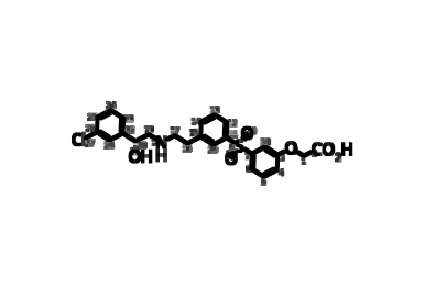 O=C(O)COc1cccc(S(=O)(=O)c2cccc(CCNC[C@H](O)c3cccc(Cl)c3)c2)c1